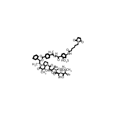 CC[C@H](C)[C@H]([C@@H](CC(=O)N1CCCC1[C@H](OC)[C@@H](C)C(=O)N[C@H](C)[C@@H](OC(=O)c1ccc(C(C)=NNC(=O)c2ccc(NC(=O)CCCCCN3C(=O)C=CC3=O)cc2S(=O)(=O)O)cc1)c1ccccc1)OC)N(C)C(=O)C(NC(=O)C(C(C)C)N(C)C)C(C)C